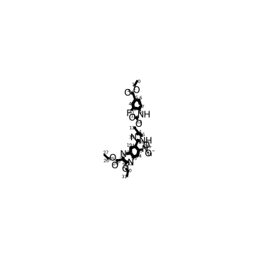 CCOC(=O)c1ccc(NC(=O)OCc2c[nH]c(-c3cc4nc(C(=O)OCC)c(OCC)nc4cc3[N+](=O)[O-])n2)c(F)c1